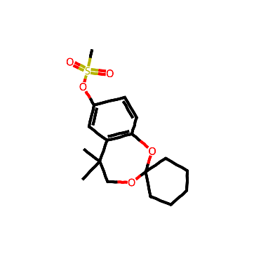 CC1(C)COC2(CCCCC2)Oc2ccc(OS(C)(=O)=O)cc21